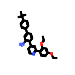 CCOc1ccc(-c2cc(-c3ccc(-c4ccc(C(C)(C)C)cc4)cc3N)ccn2)c(OCC)c1